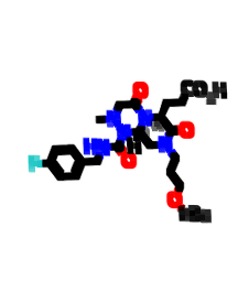 CCCCOCCCN1C[C@H]2N(C(=O)CN(C)N2C(=O)NCc2ccc(F)cc2)[C@@H](CCC(=O)O)C1=O